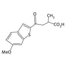 COc1ccc2cc(C(=O)CC(C)C(=O)O)sc2c1